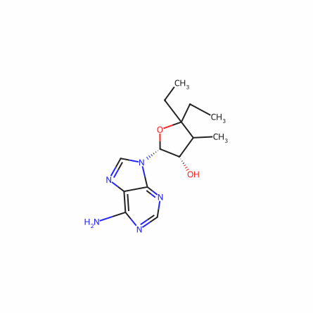 CCC1(CC)O[C@@H](n2cnc3c(N)ncnc32)[C@@H](O)C1C